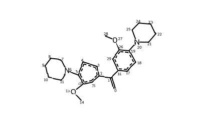 C=C(c1ccc(N2CCCCC2)c(OC)c1)c1ccc(N2CCCCC2)c(OC)c1